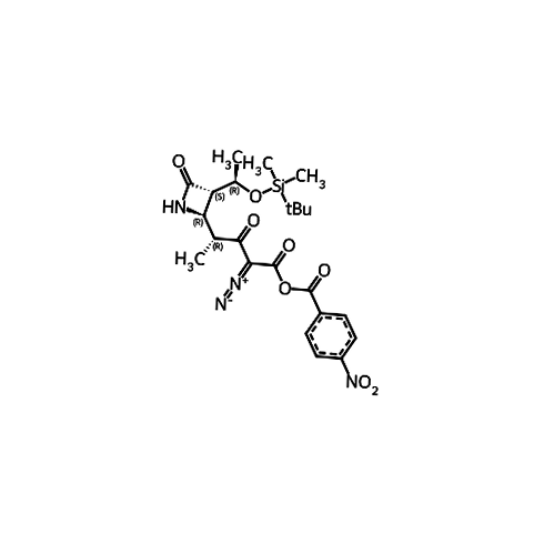 C[C@@H](O[Si](C)(C)C(C)(C)C)[C@H]1C(=O)N[C@@H]1[C@@H](C)C(=O)C(=[N+]=[N-])C(=O)OC(=O)c1ccc([N+](=O)[O-])cc1